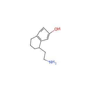 NCCC1CCCc2ccc(O)cc21